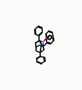 c1ccc(N2C3(c4ccccc4)CC4CC(c5ccccc5)(C3)CC2(c2ccccc2)C4)cc1